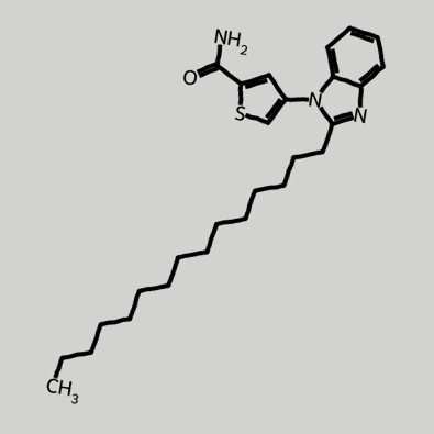 CCCCCCCCCCCCCCCc1nc2ccccc2n1-c1csc(C(N)=O)c1